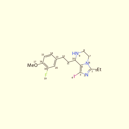 CCc1nc(I)c2n1CCNC2CCc1ccc(OC)c(F)c1